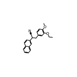 CCOc1cc(CC(C#N)c2ccc3ccccc3c2)ccc1OC